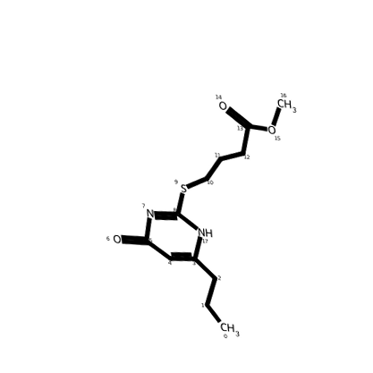 CCCc1cc(=O)nc(SCCCC(=O)OC)[nH]1